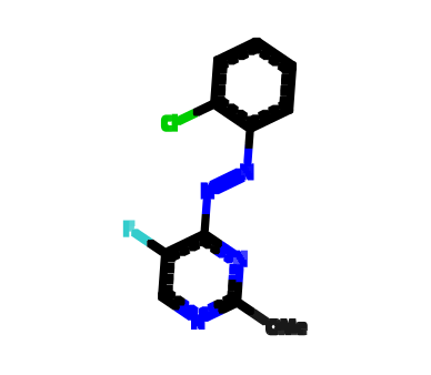 COc1ncc(F)c(/N=N/c2ccccc2Cl)n1